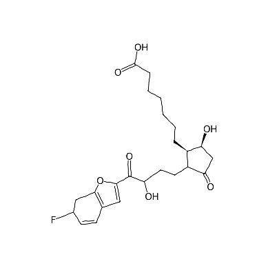 O=C(O)CCCCCC[C@@H]1C(CCC(O)C(=O)c2cc3c(o2)CC(F)C=C3)C(=O)C[C@@H]1O